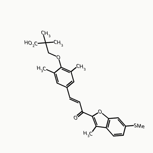 CSc1ccc2c(C)c(C(=O)/C=C/c3cc(C)c(OCC(C)(C)C(=O)O)c(C)c3)oc2c1